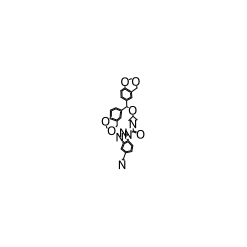 N#Cc1ccc2c(c1)nnn2C(=O)N1CC(OC(c2ccc3c(c2)COCO3)c2ccc3c(c2)COCO3)C1